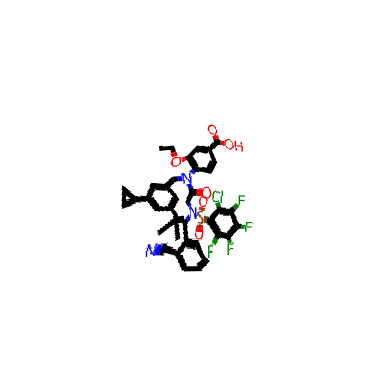 CCOc1cc(C(=O)O)ccc1N(Cc1cc(C2CC2)cc(C(C)(C)C)c1)C(=O)CN(Cc1ccccc1C#N)S(=O)(=O)c1c(F)c(F)c(F)c(F)c1Cl